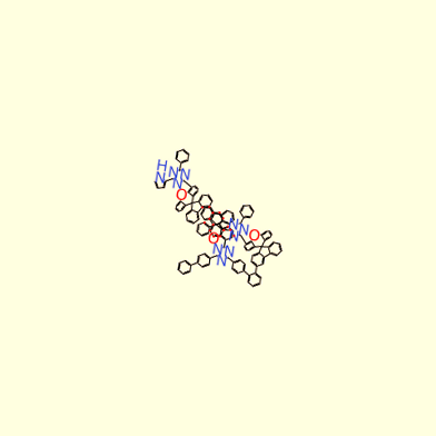 c1ccc(-c2ccc(-c3nc(-c4ccc(-c5ccccc5-c5ccc6c(c5)-c5ccccc5C65c6ccccc6Oc6c(-c7nc(-c8ccccc8)nc(-c8cccc9cc(-c%10cccc%11c%10-c%10ccccc%10C%11%10c%11ccccc%11Oc%11c(-c%12nc(-c%13ccccc%13)nc(-c%13ccc[nH]%13)n%12)cccc%11%10)ccc89)n7)cccc65)cc4)nc(-c4cccc5c4Oc4ccccc4C54c5ccccc5-c5ccccc54)n3)cc2)cc1